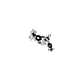 COc1cc(CN2C(=O)CN(c3ccc(C(F)(F)F)cc3)C2=O)cc2c1OC(C)(C(=O)O)C2